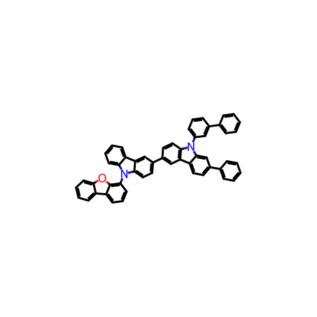 c1ccc(-c2cccc(-n3c4ccc(-c5ccc6c(c5)c5ccccc5n6-c5cccc6c5oc5ccccc56)cc4c4ccc(-c5ccccc5)cc43)c2)cc1